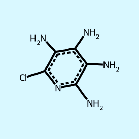 Nc1nc(Cl)c(N)c(N)c1N